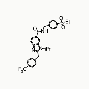 CCS(=O)(=O)c1ccc(CNC(=O)c2ccc3nc(Cc4ccc(C(F)(F)F)cc4)n(C(C)C)c3c2)cc1